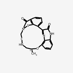 C[C@H]1CNCCn2sc3c(cccc3c2=O)-c2nc3c(cccc3[nH]c2=O)O1